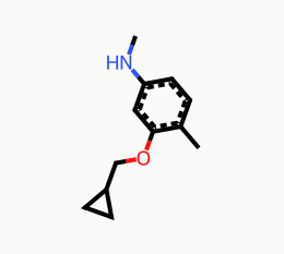 CNc1ccc(C)c(OCC2CC2)c1